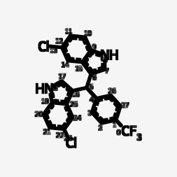 FC(F)(F)c1ccc(C(c2c[nH]c3ccc(Cl)cc23)c2c[nH]c3ccc(Cl)cc23)cc1